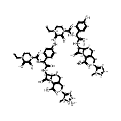 CCN1CCN(C(=O)NC(C(=O)NC2C(=O)N3C(C(=O)O)=C(CSc4nnnn4C)CSC23)c2ccc(O)cc2)C(=O)C1=O.CCN1CCN(C(=O)N[C@@H](C(=O)N[C@@H]2C(=O)N3C(C(=O)O)=C(CSc4nnnn4C)CS[C@H]23)c2ccc(O)cc2)C(=O)C1=O.[Na+]